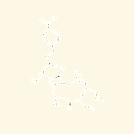 C=C(CC(=O)OC)C[C@@H]1[C@@H]([C@H](C)OC(=O)OCc2ccc([N+](=O)[O-])cc2)C(=O)N1C/C(C)=C\C(=O)OC